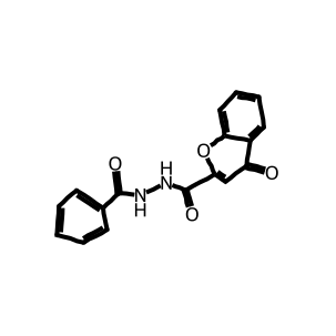 O=C(NNC(=O)c1cc(=O)c2ccccc2o1)c1ccccc1